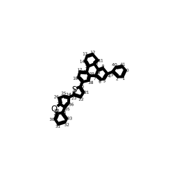 c1ccc(-c2ccc3c(c2)c2ccccc2c2ccc(-c4ccc(-c5ccc6oc7ccccc7c6c5)s4)cc23)cc1